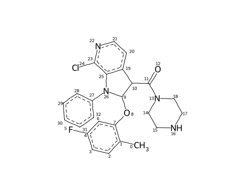 Cc1ccc(F)cc1OC1C(C(=O)N2CCNCC2)c2ccnc(Cl)c2N1c1ccccc1